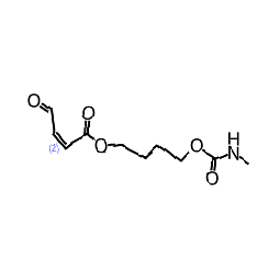 CNC(=O)OCCCCOC(=O)/C=C\C=O